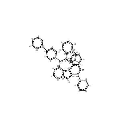 c1ccc(-c2ccc(N(c3cccc4ccccc34)c3cccc4oc5c(-c6ccccc6)cc6ccccc6c5c34)cc2)cc1